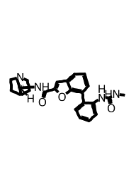 CNC(=O)Nc1ccccc1-c1cccc2cc(C(=O)N[C@H]3CN4CCC3CC4)oc12